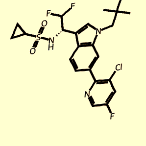 CC(C)(C)Cn1cc([C@H](NS(=O)(=O)C2CC2)C(F)F)c2ccc(-c3ncc(F)cc3Cl)cc21